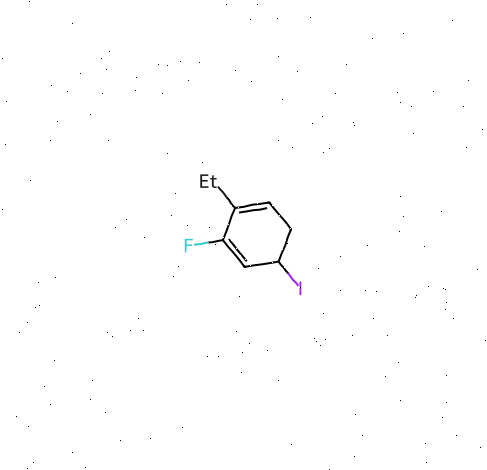 CCC1=CCC(I)C=C1F